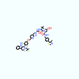 Cc1ncsc1-c1ccc(CNC(=O)[C@@H]2C[C@@H](O)CN2C(=O)[C@@H](NC(=O)CNCc2ccc(COc3cc(F)c([C@@H]4c5[nH]c6ccccc6c5C[C@@H](C)N4CC(C)(C)F)c(F)c3)nc2)C(C)(C)C)cc1